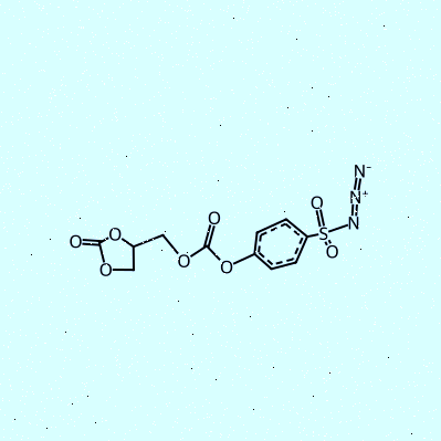 [N-]=[N+]=NS(=O)(=O)c1ccc(OC(=O)OCC2COC(=O)O2)cc1